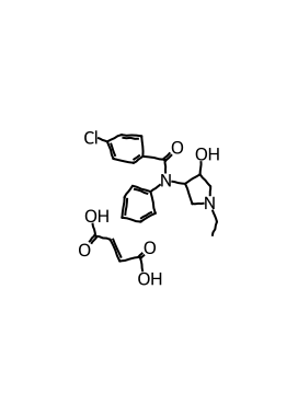 CCN1CC(O)C(N(C(=O)c2ccc(Cl)cc2)c2ccccc2)C1.O=C(O)/C=C/C(=O)O